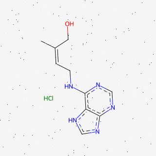 CC(=CCNc1ncnc2nc[nH]c12)CO.Cl